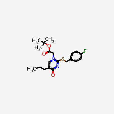 CCCc1cn(CC(=O)OC(C)(C)C)c(SCc2ccc(F)cc2)nc1=O